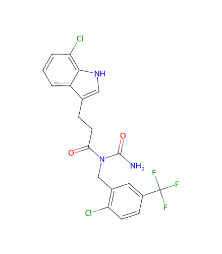 NC(=O)N(Cc1cc(C(F)(F)F)ccc1Cl)C(=O)CCc1c[nH]c2c(Cl)cccc12